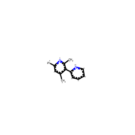 Cc1cc(C(C)C)nc(C)c1-c1ccccn1